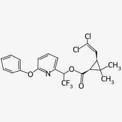 CC1(C)[C@H](C=C(Cl)Cl)[C@@H]1C(=O)OC(c1cccc(Oc2ccccc2)n1)C(F)(F)F